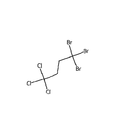 ClC(Cl)(Cl)CCC(Br)(Br)Br